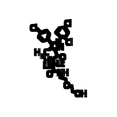 CCC(CC)(NC(=O)c1nn(-c2ccc(Cl)cc2Cl)c(-c2ccc(Cl)cc2)c1C)C(=O)NCCOCCO